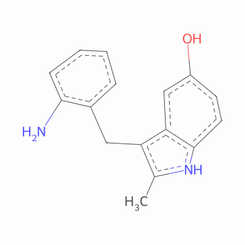 Cc1[nH]c2ccc(O)cc2c1Cc1ccccc1N